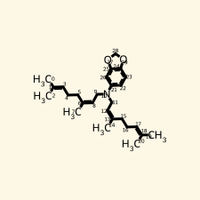 CC(C)=CCCC(C)=CCN(CC=C(C)CCC=C(C)C)c1ccc2c(c1)OCO2